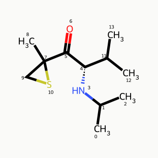 CC(C)N[C@H](C(=O)C1(C)CS1)C(C)C